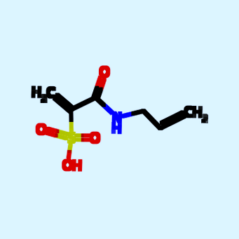 C=CCNC(=O)C(=C)S(=O)(=O)O